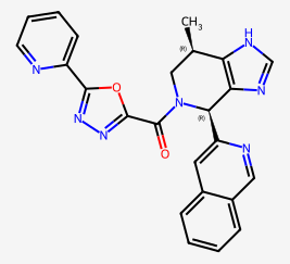 C[C@@H]1CN(C(=O)c2nnc(-c3ccccn3)o2)[C@H](c2cc3ccccc3cn2)c2nc[nH]c21